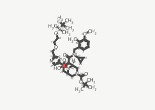 COc1cccc(CN(C(=O)C2=C(c3cnc(COCCO[Si](C)(C)C(C)(C)C)s3)CC3CN(C(=O)OC(C)(C)C)C[C@H]2N3C(=O)O)C2CC2)c1C